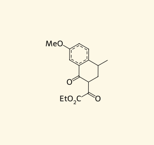 CCOC(=O)C(=O)C1CC(C)c2ccc(OC)cc2C1=O